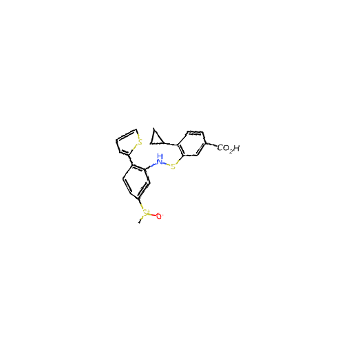 C[S+]([O-])c1ccc(-c2cccs2)c(NSc2cc(C(=O)O)ccc2C2CC2)c1